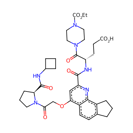 CCOC(=O)N1CCN(C(=O)[C@H](CCC(=O)O)NC(=O)c2cc(OCC(=O)N3CCC[C@H]3C(=O)NC3CCC3)c3ccc4c(c3n2)CCC4)CC1